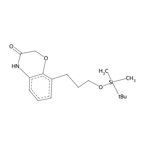 CC(C)(C)[Si](C)(C)OCCCc1cccc2c1OCC(=O)N2